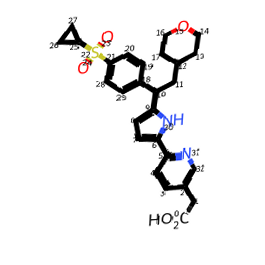 O=C(O)Cc1ccc(-c2ccc(C(CC3CCOCC3)c3ccc(S(=O)(=O)C4CC4)cc3)[nH]2)nc1